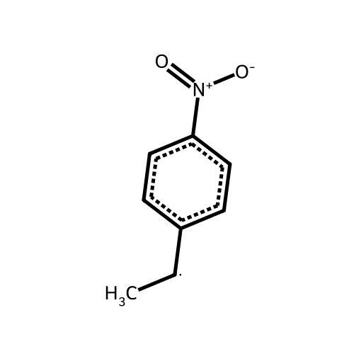 C[CH]c1ccc([N+](=O)[O-])cc1